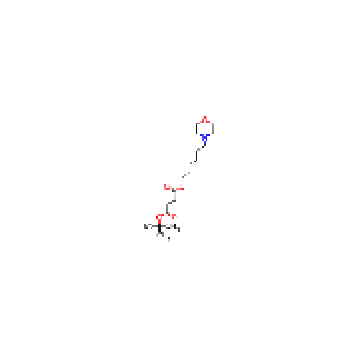 CCC(C)(C)OC(=O)/C=C/C(=O)OCCCCCCN1CCOCC1